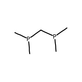 CP(C)CP(C)C